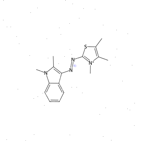 Cc1sc(/N=N/c2c(C)n(C)c3ccccc23)[n+](C)c1C